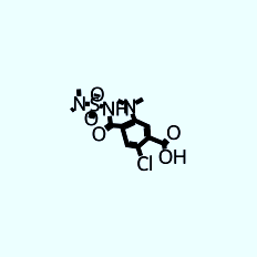 CN(C)c1cc(C(=O)O)c(Cl)cc1C(=O)NS(=O)(=O)N(C)C